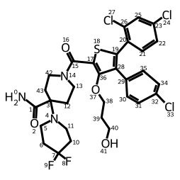 NC(=O)C1(N2CCC(F)(F)CC2)CCN(C(=O)c2sc(-c3ccc(Cl)cc3Cl)c(-c3ccc(Cl)cc3)c2OCCCO)CC1